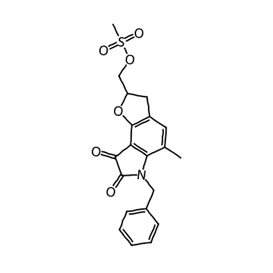 Cc1cc2c(c3c1N(Cc1ccccc1)C(=O)C3=O)OC(COS(C)(=O)=O)C2